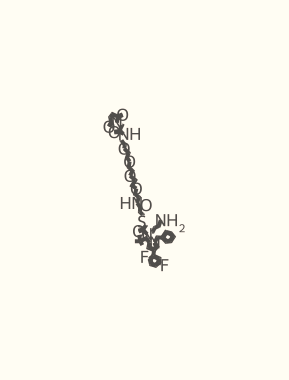 CC(C)(C)[C@H](c1cc(-c2cc(F)ccc2F)cn1Cc1ccccc1)N(CCCN)C(=O)CSCCC(=O)NCCOCCOCCOCCOCCNC(=O)CN1C(=O)C=CC1=O